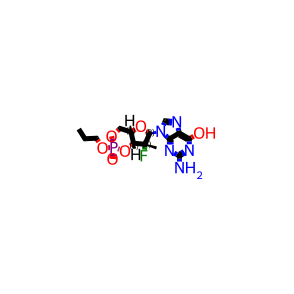 CCCOP1(=O)OC[C@H]2O[C@@H](n3cnc4c(O)nc(N)nc43)[C@](C)(F)[C@@H]2O1